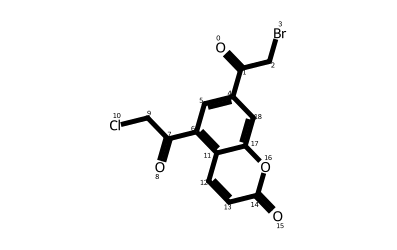 O=C(CBr)c1cc(C(=O)CCl)c2ccc(=O)oc2c1